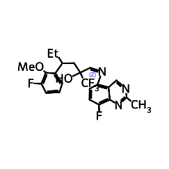 CCC(CC(O)(/C=N\c1ccc(F)c2nc(C)ncc12)C(F)(F)F)c1cccc(F)c1OC